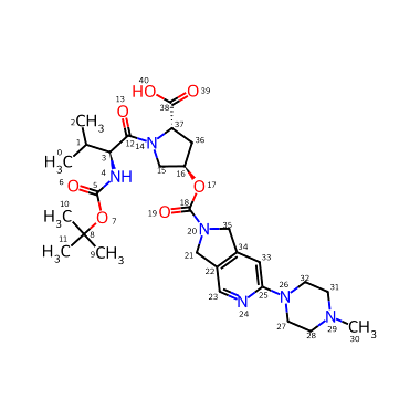 CC(C)[C@H](NC(=O)OC(C)(C)C)C(=O)N1C[C@H](OC(=O)N2Cc3cnc(N4CCN(C)CC4)cc3C2)C[C@H]1C(=O)O